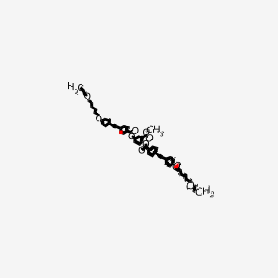 C=CCOCCCCCCOc1ccc(C#Cc2ccc(C(=O)Oc3ccc(OC(=O)c4ccc(C#Cc5ccc(OCCCCCCOCC=C)cc5)cc4)c(C(=O)OC)c3)cc2)cc1